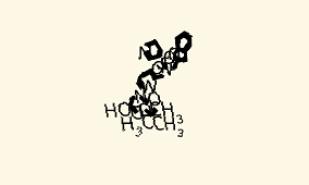 CC(C)(C)OC(=O)N(CC(=O)O)c1cccc(CN(Cc2cc3ccccc3o2)S(=O)(=O)c2cccnc2)n1